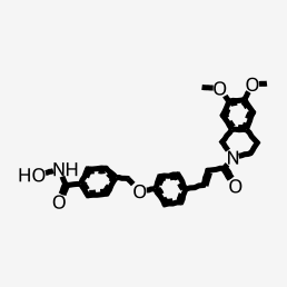 COc1cc2c(cc1OC)CN(C(=O)/C=C/c1ccc(OCc3ccc(C(=O)NO)cc3)cc1)CC2